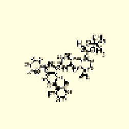 CC(C)(C)OC(=O)N1CCC2(CC2)[C@@H](Oc2cncc(-c3nn(C4CCCCO4)c4ccc(-c5c(F)cccc5F)cc34)n2)C1